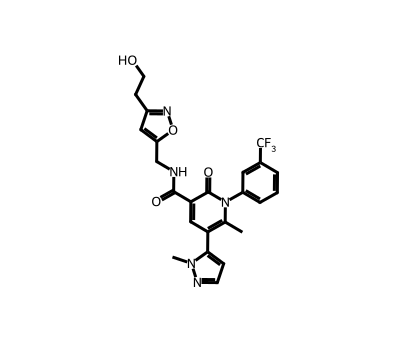 Cc1c(-c2ccnn2C)cc(C(=O)NCc2cc(CCO)no2)c(=O)n1-c1cccc(C(F)(F)F)c1